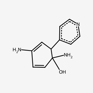 NC1=CC(c2ccncc2)C(N)(O)C=C1